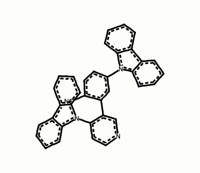 N#Cc1ccc(-n2c3ccccc3c3ccccc32)cc1-c1cnccc1-n1c2ccccc2c2ccccc21